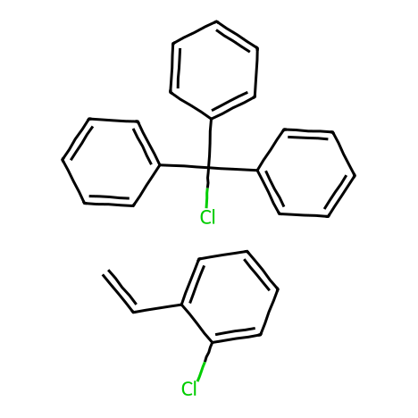 C=Cc1ccccc1Cl.ClC(c1ccccc1)(c1ccccc1)c1ccccc1